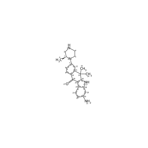 C[C@H]1CNCCN1c1ccc2c(c1)C(C)(C)c1[nH]c3cc(N)ccc3c1C2=O